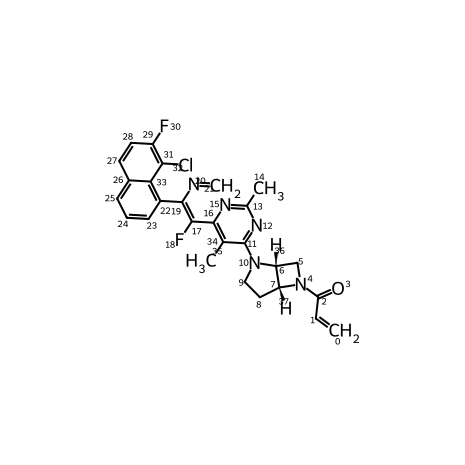 C=CC(=O)N1C[C@@H]2[C@H]1CCN2c1nc(C)nc(/C(F)=C(\N=C)c2cccc3ccc(F)c(Cl)c23)c1C